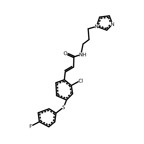 O=C(/C=C/c1ccc(Sc2ccc(F)cc2)cc1Cl)NCCCn1ccnc1